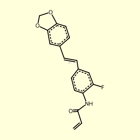 C=CC(=O)Nc1ccc(/C=C/c2ccc3c(c2)OCO3)cc1F